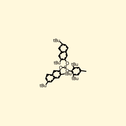 Cc1cc(C(C)(C)C)c(OP(Oc2cc3ccc(C(C)(C)C)cc3cc2C(C)(C)C)Oc2cc3ccc(C(C)(C)C)cc3cc2C(C)(C)C)c(C(C)(C)C)c1